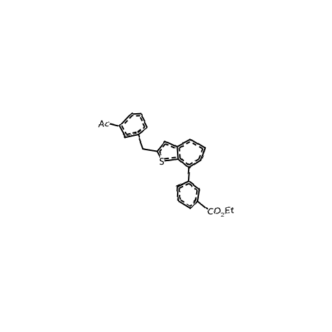 CCOC(=O)c1cccc(-c2cccc3cc(Cc4cccc(C(C)=O)c4)sc23)c1